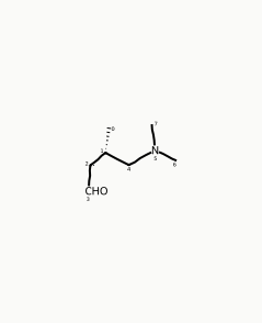 C[C@@H]([CH]C=O)CN(C)C